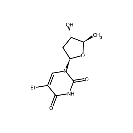 CCc1cn([C@H]2C[C@H](O)[C@@H](C)O2)c(=O)[nH]c1=O